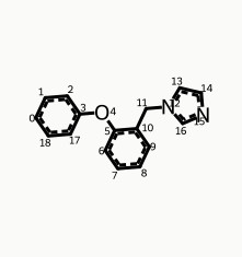 c1ccc(Oc2ccccc2Cn2ccnc2)cc1